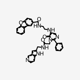 O=C(Cn1c(-c2ccccc2)ncc(NCCNC(=O)c2ccc3oc4ccccc4c3c2)c1=O)NCc1cc2cnccc2[nH]1